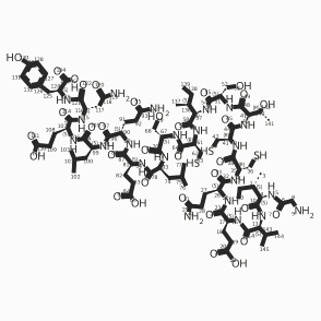 CC[C@H](C)[C@H](NC(=O)CN)C(=O)N[C@H](C(=O)N[C@@H](CCC(=O)O)C(=O)N[C@@H](CCC(N)=O)C(=O)N[C@@H](CS)C(=O)N[C@@H](CS)C(=O)N[C@H](C(=O)N[C@@H](CO)C(=O)N[C@H](C(=O)N[C@@H](CS)C(=O)N[C@@H](CO)C(=O)N[C@@H](CC(C)C)C(=O)N[C@@H](CCC(=O)O)C(=O)N[C@@H](CCC(N)=O)C(=O)N[C@@H](CC(C)C)C(=O)N[C@@H](CCC(=O)O)C(=O)N[C@@H](CC(N)=O)C(=O)N[C@@H](Cc1ccc(O)cc1)C(=O)O)[C@@H](C)CC)[C@@H](C)O)C(C)C